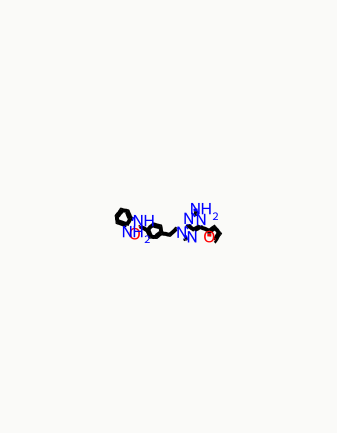 Nc1nc(-c2ccco2)c2ncn(CCc3ccc(C(=O)Nc4ccccc4N)cc3)c2n1